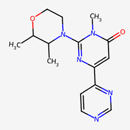 CC1OCCN(c2nc(-c3ccncn3)cc(=O)n2C)C1C